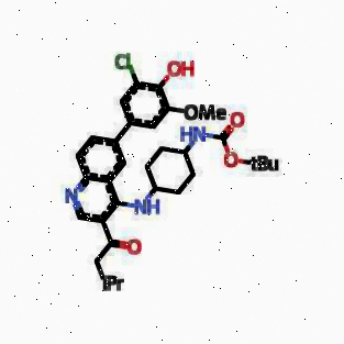 COc1cc(-c2ccc3ncc(C(=O)CC(C)C)c(NC4CCC(NC(=O)OC(C)(C)C)CC4)c3c2)cc(Cl)c1O